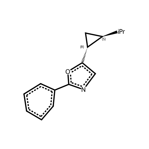 CC(C)[C@@H]1C[C@H]1c1cnc(-c2ccccc2)o1